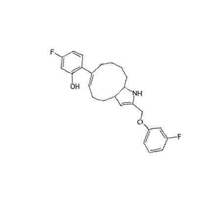 Oc1cc(F)ccc1/C1=C/CCC2C=C(COc3cccc(F)c3)NC2CCCC1